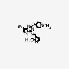 CC(C)c1cnn2c(NCc3ccnn3C)nc(OC3CCN(C)CC3)nc12